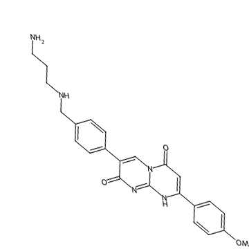 COc1ccc(-c2cc(=O)n3cc(-c4ccc(CNCCCN)cc4)c(=O)nc3[nH]2)cc1